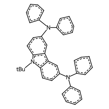 CC(C)(C)n1c2ccc(N(c3ccccc3)c3ccccc3)cc2c2cc(N(c3ccccc3)c3ccccc3)ccc21